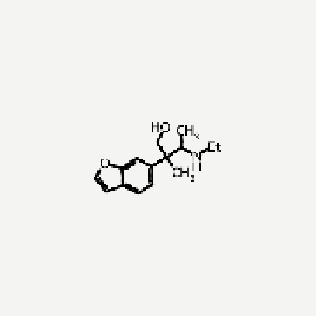 CCNC(C)C(C)(CO)c1ccc2ccoc2c1